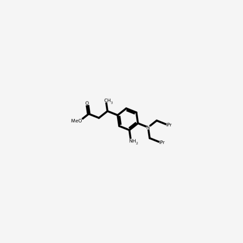 COC(=O)CC(C)c1ccc(N(CC(C)C)CC(C)C)c(N)c1